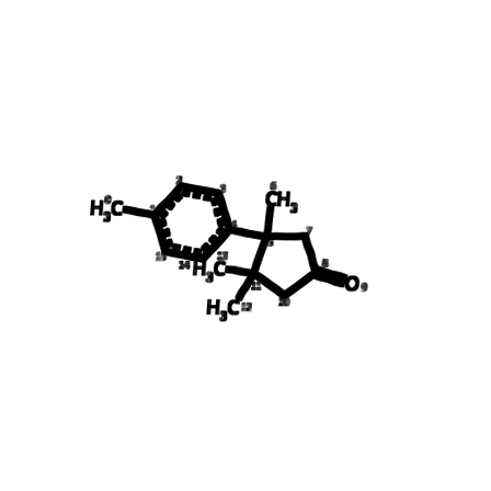 Cc1ccc(C2(C)CC(=O)CC2(C)C)cc1